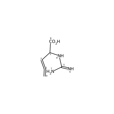 C=C=CC(NC(=N)N)C(=O)O